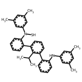 Cc1cc(C)cc(Nc2ccccc2-c2cccc(-c3ccccc3N(S)c3cc(C)cc(C)c3)c2C(C)C)c1